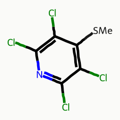 CSc1c(Cl)c(Cl)nc(Cl)c1Cl